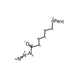 CCCCCCCCCCC(=O)N=[N+]=[N-]